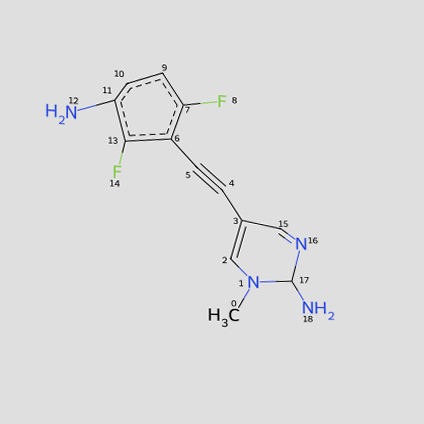 CN1C=C(C#Cc2c(F)ccc(N)c2F)C=NC1N